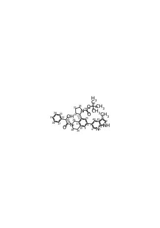 Cc1c[nH]c2ncc(-c3cc4c(c(C5CCCN5C(=O)OC(C)(C)C)c3)CN(C(=O)C(O)c3ccccc3)CC4)cc12